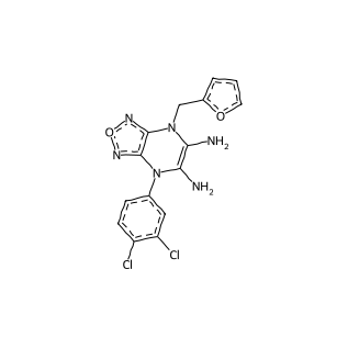 NC1=C(N)N(c2ccc(Cl)c(Cl)c2)c2nonc2N1Cc1ccco1